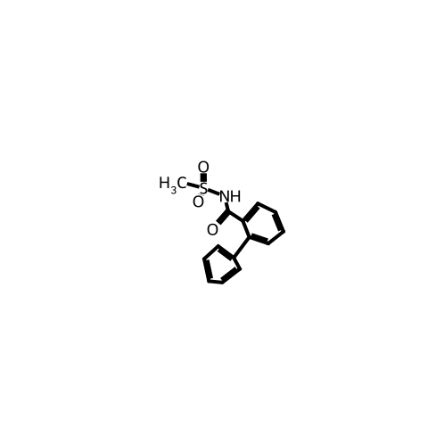 CS(=O)(=O)NC(=O)c1ccccc1-c1ccccc1